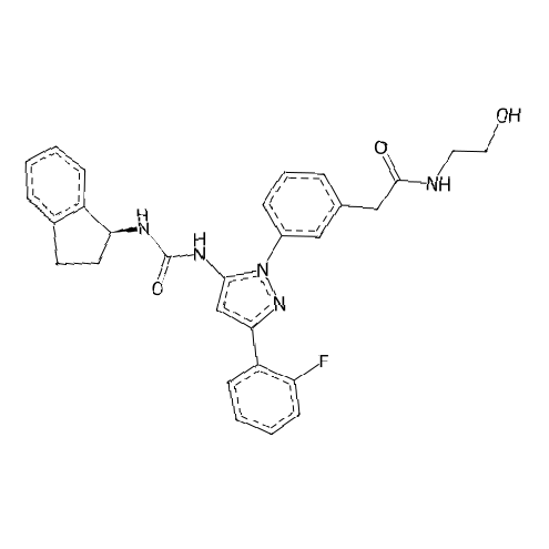 O=C(Cc1cccc(-n2nc(-c3ccccc3F)cc2NC(=O)N[C@H]2CCc3ccccc32)c1)NCCO